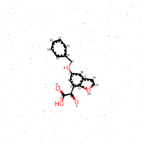 O=C(O)C(=O)c1cc(OCc2ccccc2)cc2ccoc12